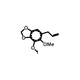 C=CCc1cc2c(c(OI)c1OC)OCO2